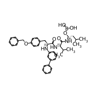 CC(C)C[C@H](NC(=O)[C@@H](NC(=O)[C@H](Cc1ccc(OCc2ccccc2)cc1)Nc1cccc(-c2ccccc2)c1)C(C)C)OB(O)O